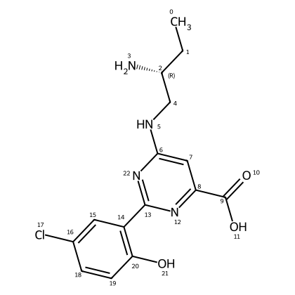 CC[C@@H](N)CNc1cc(C(=O)O)nc(-c2cc(Cl)ccc2O)n1